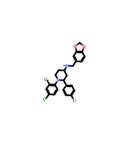 Clc1ccc(C2CC(NCc3ccc4c(c3)OCO4)CCN2c2ccc(Cl)cc2Cl)cc1